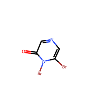 O=c1cncc(Br)n1Br